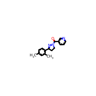 Cc1ccc(C2=NN(C(=O)c3cccnc3)CC2)c(C)c1